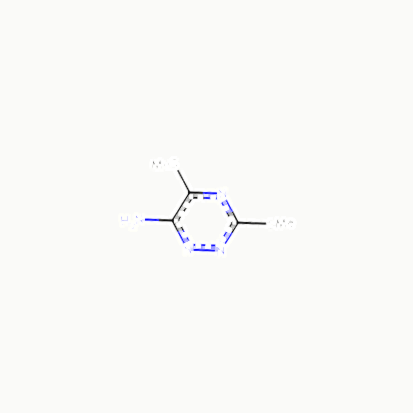 CSc1nnc(N)c(SC)n1